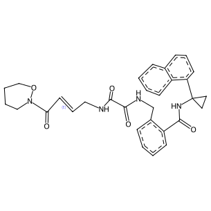 O=C(NC/C=C/C(=O)N1CCCCO1)C(=O)NCc1ccccc1C(=O)NC1(c2cccc3ccccc23)CC1